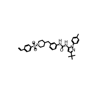 C=Cc1ccc(S(=O)(=O)N2CCC(Cc3cccc(NC(=O)Nc4cc(C(C)(C)C)nn4-c4ccc(C)cc4)c3)CC2)cc1